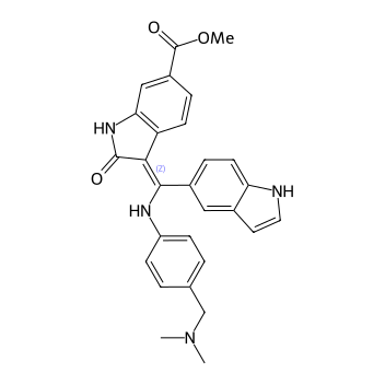 COC(=O)c1ccc2c(c1)NC(=O)/C2=C(\Nc1ccc(CN(C)C)cc1)c1ccc2[nH]ccc2c1